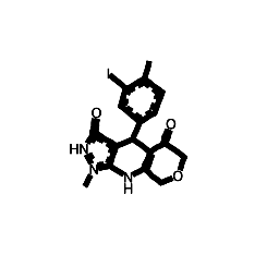 Cc1ccc(C2C3=C(COCC3=O)Nc3c2c(=O)[nH]n3C)cc1I